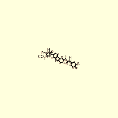 CC(C)[C@H](NS(=O)(=O)c1ccc2c(c1)oc1ccc(NC(=O)Nc3ccc(F)c(F)c3)cc12)C(=O)O